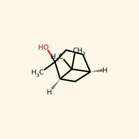 CC1(O)CC[C@H]2C[C@@H]1C2(C)C